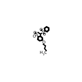 CCCCCOc1ccc2c(c1)C(S(=O)(=O)c1ccccc1)CS2(=O)=O